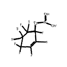 OB(O)OC1(F)C(F)=C(F)C(F)(F)C(F)(F)C1(F)F